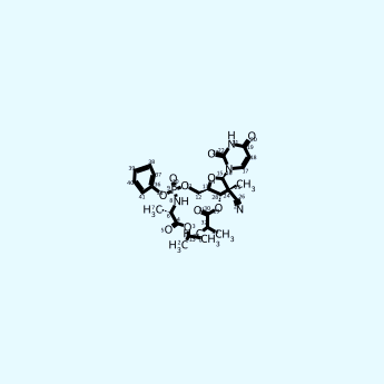 CC(C)OC(=O)[C@H](C)NP(=O)(OC[C@H]1O[C@@H](n2ccc(=O)[nH]c2=O)[C@](C)(C#N)[C@@H]1OC(=O)C(C)C)Oc1ccccc1